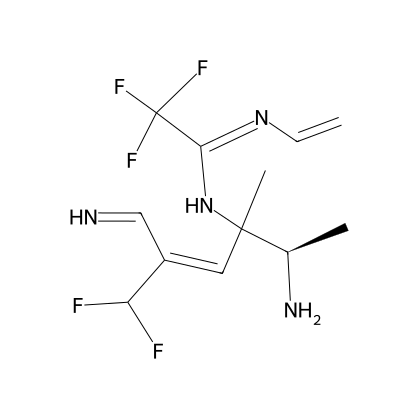 C=C/N=C(\NC(C)(/C=C(\C=N)C(F)F)[C@@H](C)N)C(F)(F)F